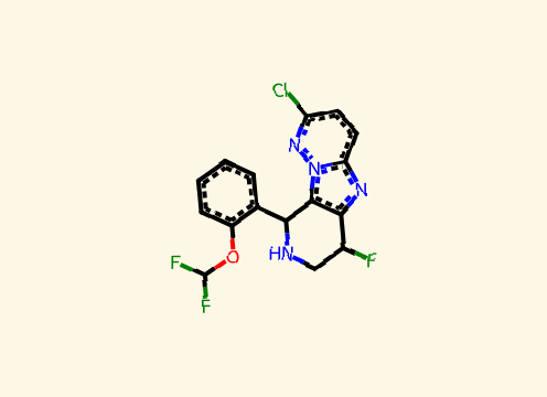 FC(F)Oc1ccccc1C1NCC(F)c2nc3ccc(Cl)nn3c21